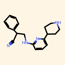 N#CC(CNc1cccc(C2CCNCC2)n1)c1ccccc1